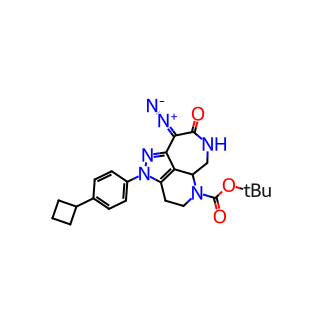 CC(C)(C)OC(=O)N1CCc2c3c(nn2-c2ccc(C4CCC4)cc2)C(=[N+]=[N-])C(=O)NCC31